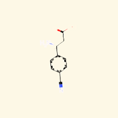 N#Cc1ccc([C@@H](N)CC(=O)O)cc1